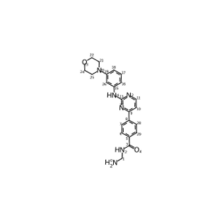 NCNC(=O)c1ccc(-c2ccnc(Nc3cccc(N4CCOCC4)c3)n2)cc1